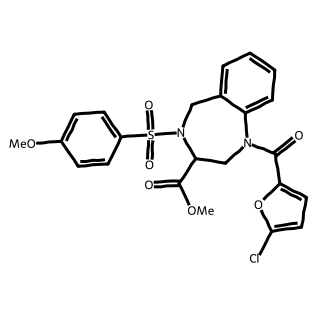 COC(=O)C1CN(C(=O)c2ccc(Cl)o2)c2ccccc2CN1S(=O)(=O)c1ccc(OC)cc1